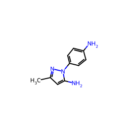 Cc1cc(N)n(-c2ccc(N)cc2)n1